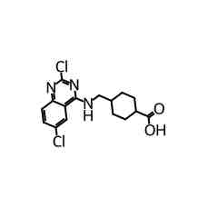 O=C(O)C1CCC(CNc2nc(Cl)nc3ccc(Cl)cc23)CC1